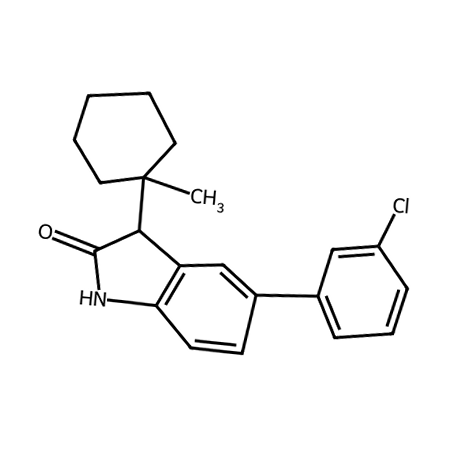 CC1(C2C(=O)Nc3ccc(-c4cccc(Cl)c4)cc32)CCCCC1